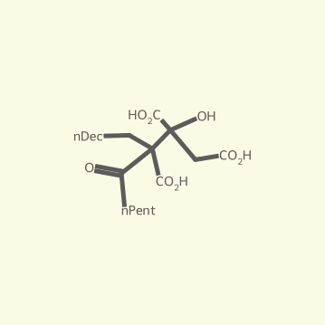 CCCCCCCCCCCC(C(=O)O)(C(=O)CCCCC)C(O)(CC(=O)O)C(=O)O